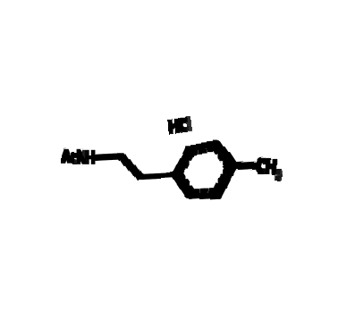 CC(=O)NCCc1ccc(C)cc1.Cl